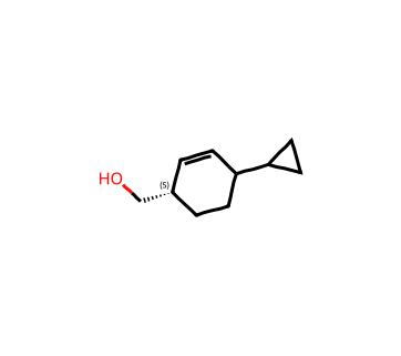 OC[C@@H]1C=CC(C2CC2)CC1